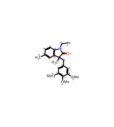 COc1cc(CC2(C)C(=O)N(CC(C)C)c3ccc(C)cc32)cc(OC)c1OC